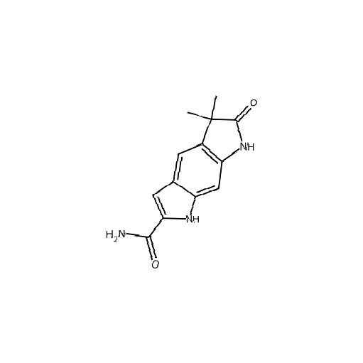 CC1(C)C(=O)Nc2cc3[nH]c(C(N)=O)cc3cc21